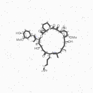 CCCSCCC[C@@H]1/C=C(\C)C[C@H](C)C[C@H](O)[C@H]2O[C@@](O)(C(=O)C(=O)N3CCCC[C@H]3C(=O)O[C@H](/C(C)=C/[C@@H]3CC[C@@H](O)[C@H](OC)C3)[C@H](C)[C@@H](O)CC1=O)[C@H](C)C[C@@H]2OC